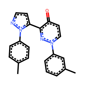 Cc1ccc(-n2nccc2-c2nn(-c3cccc(C)c3)ccc2=O)cc1